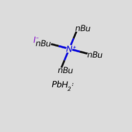 CCCC[N+](CCCC)(CCCC)CCCC.[I-].[PbH2]